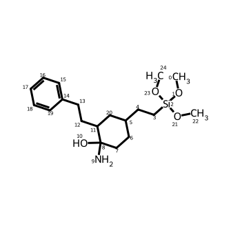 CO[Si](CCC1CCC(N)(O)C(CCc2ccccc2)C1)(OC)OC